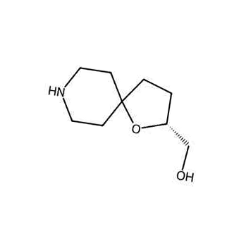 OC[C@H]1CCC2(CCNCC2)O1